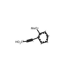 COc1ccccc1C#CC(=O)O